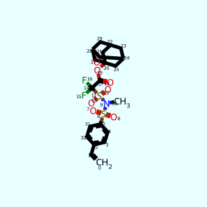 C=Cc1ccc(S(=O)(=O)N(C)S(=O)(=O)C(F)(F)C(=O)OC23CC4CC(C2)C(=O)C(C4)C3)cc1